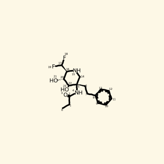 CCC(=O)N[C@@]1(CCc2ccccc2)CN[C@H](C(F)F)[C@@H](O)[C@@H]1O